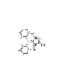 O=c1sn(Cc2ccccc2)n(Cc2ccccc2)c1=S